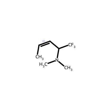 C/C=C\C(N(C)C)C(F)(F)F